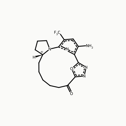 Nc1cc(C(F)(F)F)c2nc1-c1nnc(o1)C(=O)CCCCC[C@@H]1CCCN21